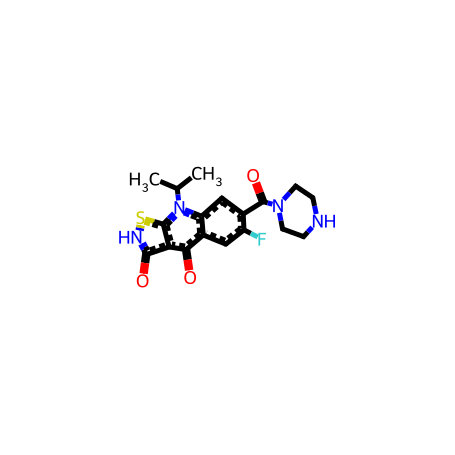 CC(C)n1c2cc(C(=O)N3CCNCC3)c(F)cc2c(=O)c2c(=O)[nH]sc21